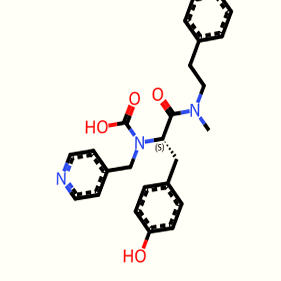 CN(CCc1ccccc1)C(=O)[C@H](Cc1ccc(O)cc1)N(Cc1ccncc1)C(=O)O